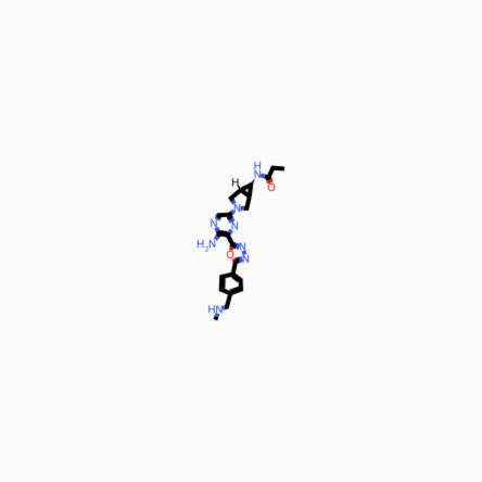 CCC(=O)N[C@@H]1C2CN(c3cnc(N)c(-c4nnc(-c5ccc(CNC)cc5)o4)n3)C[C@H]21